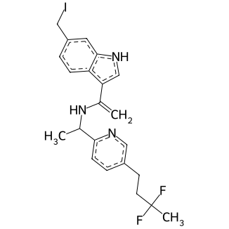 C=C(NC(C)c1ccc(CCC(C)(F)F)cn1)c1c[nH]c2cc(CI)ccc12